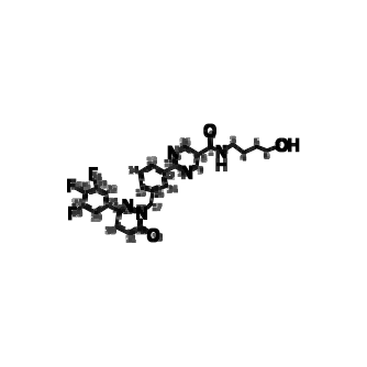 O=C(NCCCCO)c1cnc(-c2cccc(Cn3nc(-c4cc(F)c(F)c(F)c4)ccc3=O)c2)nc1